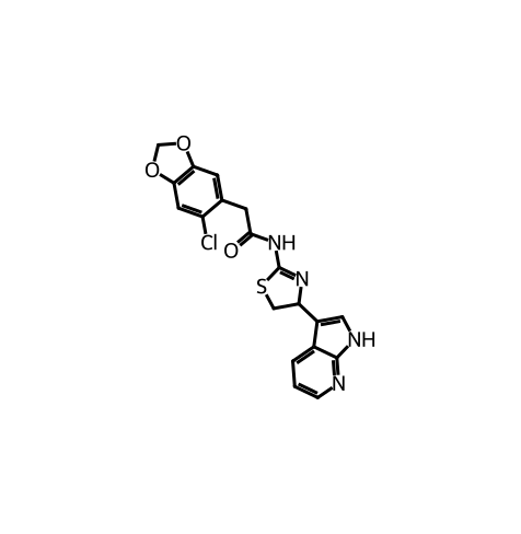 O=C(Cc1cc2c(cc1Cl)OCO2)NC1=NC(c2c[nH]c3ncccc23)CS1